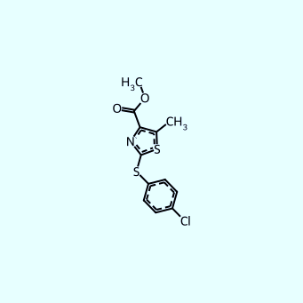 COC(=O)c1nc(Sc2ccc(Cl)cc2)sc1C